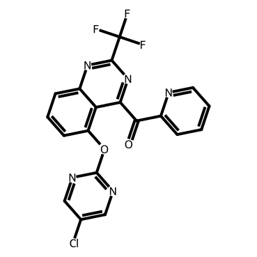 O=C(c1ccccn1)c1nc(C(F)(F)F)nc2cccc(Oc3ncc(Cl)cn3)c12